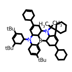 CC(C)(C)C1=CCC2C(=C1)B1C3CC(C4CCCCC4)C=C4C3N(C3CC(C5CC=CCC5)=CC(C13)N2C1CC(C(C)(C)C)=CC(C(C)(C)C)C1)C(C)(C)C41CCCCC1